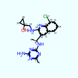 Cc1nc(N)nc(N[C@@H](C)c2cc3cccc(Cl)c3nc2NCC2(O)CC2)n1